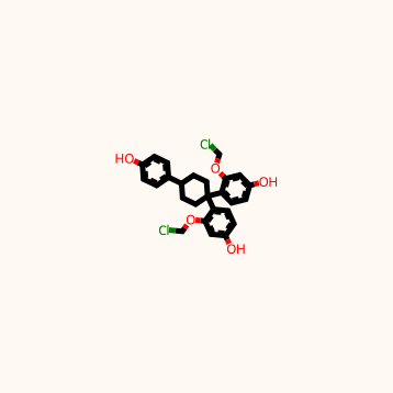 Oc1ccc(C2CCC(c3ccc(O)cc3OCCl)(c3ccc(O)cc3OCCl)CC2)cc1